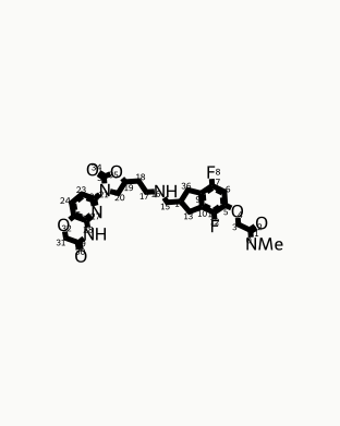 CNC(=O)COc1cc(F)c2c(c1F)CC(CNCCC1CN(c3ccc4c(n3)NC(=O)CO4)C(=O)O1)C2